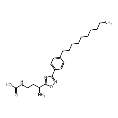 CCCCCCCCCCc1ccc(-c2noc(C(N)CCNC(=O)O)n2)cc1